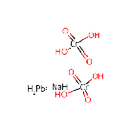 [NaH].[O]=[Cr](=[O])([OH])[OH].[O]=[Cr](=[O])([OH])[OH].[PbH2]